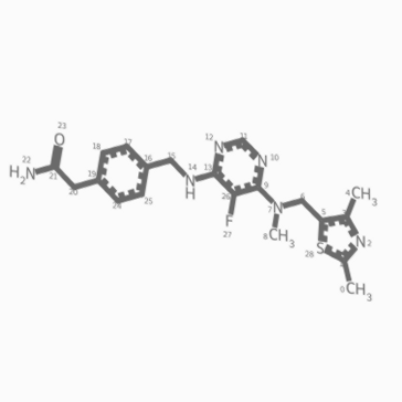 Cc1nc(C)c(CN(C)c2ncnc(NCc3ccc(CC(N)=O)cc3)c2F)s1